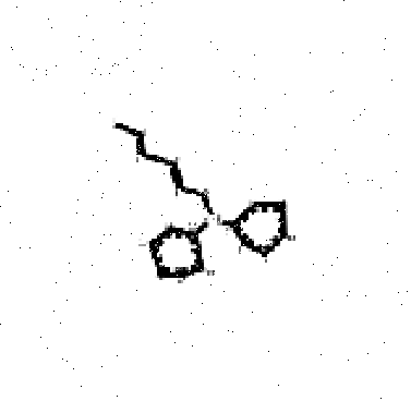 CC=CC=C[CH2][Pt]([c]1ccccc1)[c]1ccccc1